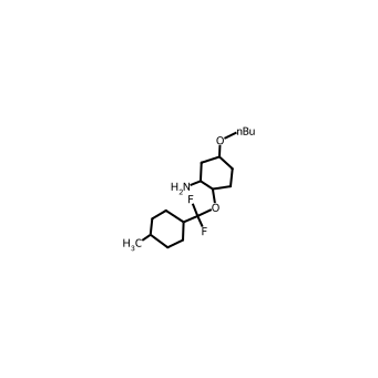 CCCCOC1CCC(OC(F)(F)C2CCC(C)CC2)C(N)C1